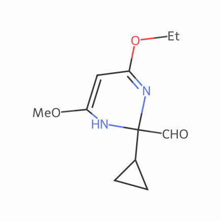 CCOC1=NC(C=O)(C2CC2)NC(OC)=C1